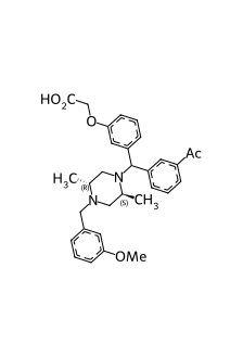 COc1cccc(CN2C[C@H](C)N(C(c3cccc(OCC(=O)O)c3)c3cccc(C(C)=O)c3)C[C@H]2C)c1